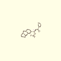 O=C(/C=C(\OB(F)F)c1ccc2cc3ccccc3cc2c1)c1ccccc1